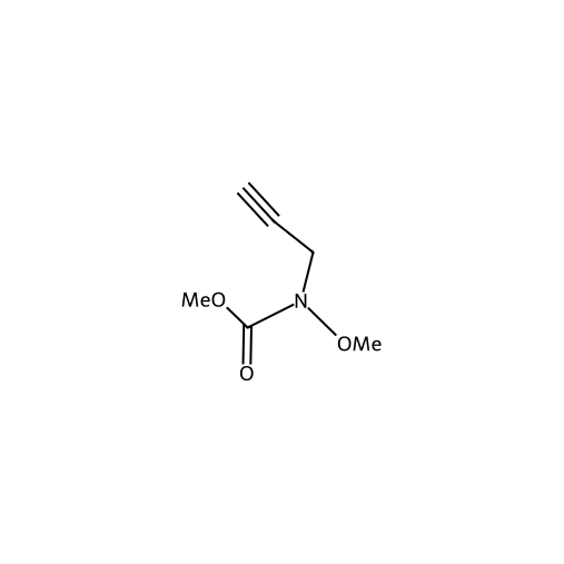 C#CCN(OC)C(=O)OC